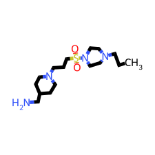 CCCN1CCN(S(=O)(=O)CCCN2CCC(CN)CC2)CC1